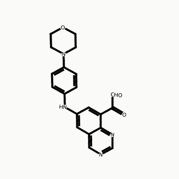 O=CC(=O)c1cc(Nc2ccc(N3CCOCC3)cc2)cc2cncnc12